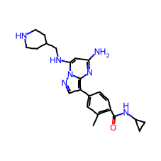 Cc1cc(-c2cnn3c(NCC4CCNCC4)cc(N)nc23)ccc1C(=O)NC1CC1